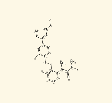 CCN/C=C(\C=N)c1ccc(SCc2c(C)cccc2N(N)C(=O)N(C)N)c(C)c1